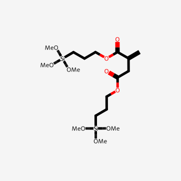 C=C(CC(=O)OCCC[Si](OC)(OC)OC)C(=O)OCCC[Si](OC)(OC)OC